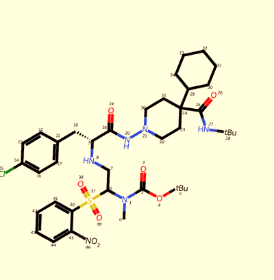 CN(C(=O)OC(C)(C)C)C(CN[C@H](Cc1ccc(Cl)cc1)C(=O)NN1CCC(C(=O)NC(C)(C)C)(C2CCCCC2)CC1)S(=O)(=O)c1ccccc1[N+](=O)[O-]